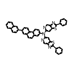 c1ccc(-c2nc3cnc(N(c4ccc5c(ccc6cc(-c7ccc8ccccc8c7)ccc65)c4)c4cc5sc(-c6ccccc6)nc5cn4)cc3s2)cc1